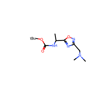 CC(NC(=O)OC(C)(C)C)c1nc(CN(C)C)no1